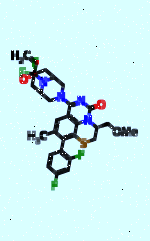 C=CC(=O)N1C2CN(c3nc(=O)n4c5c(c(-c6ccc(F)cc6F)c(C)cc35)SC[C@@H]4COC)CC1CC(F)(F)C2